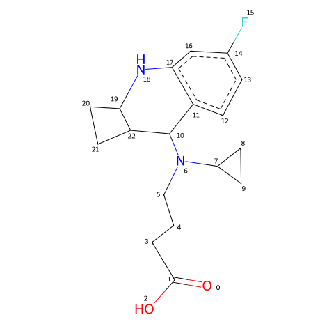 O=C(O)CCCN(C1CC1)C1c2ccc(F)cc2NC2CCC21